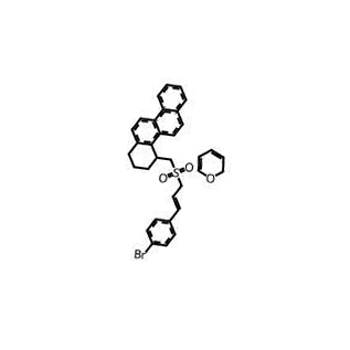 C1=CCOC=C1.O=S(=O)(CC=Cc1ccc(Br)cc1)CC1CCCc2ccc3c(ccc4ccccc43)c21